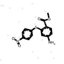 COC(=O)c1ccc(N)cc1Sc1ccc([N+](=O)[O-])cc1